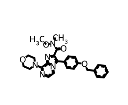 CON(C)C(=O)c1nc2c(N3CCOCC3)nccn2c1-c1ccc(OCc2ccccc2)cc1